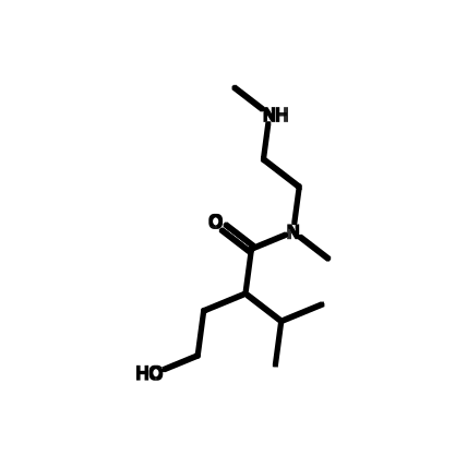 CNCCN(C)C(=O)C(CCO)C(C)C